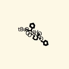 CC(C)(C)OC(=O)[C@H](NC(=O)[C@@H]1CCC2CN1C(=O)N2OCc1ccccc1)c1ccccc1